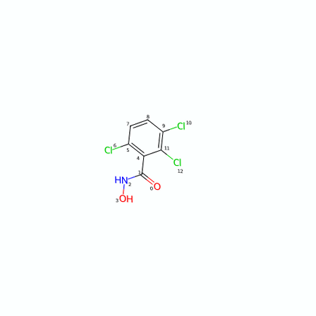 O=C(NO)c1c(Cl)ccc(Cl)c1Cl